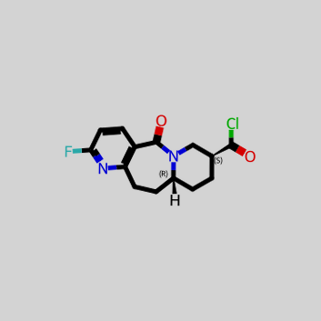 O=C(Cl)[C@H]1CC[C@@H]2CCc3nc(F)ccc3C(=O)N2C1